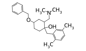 Cc1ccc(C)c(CC2(O)CCC(OCc3ccccc3)CC2CN(C)C)c1